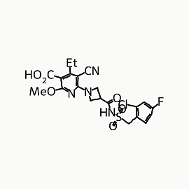 CCc1c(C#N)c(N2CC(C(=O)NS(=O)(=O)Cc3ccc(F)cc3Cl)C2)nc(OC)c1C(=O)O